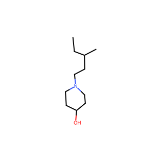 CCC(C)CCN1CCC(O)CC1